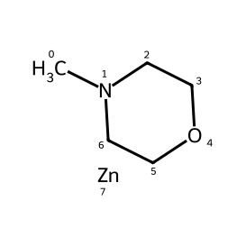 CN1CCOCC1.[Zn]